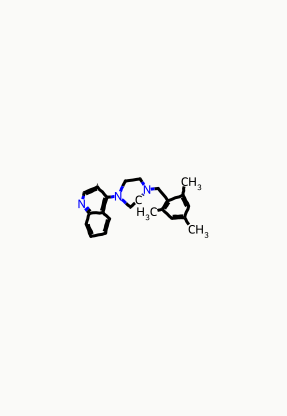 Cc1cc(C)c(CN2CCN(c3[c]cnc4ccccc34)CC2)c(C)c1